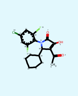 CC(=O)C1=C(O)C(=O)N(c2c(F)cc(Cl)cc2F)C1C1CCCCC1